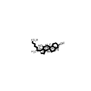 C[C@H](CCCCC(=O)O)[C@H]1CC[C@H]2[C@@H]3CC[C@@H]4C[C@H](O)CC[C@]4(C)[C@H]3C[C@H](O)[C@]12C